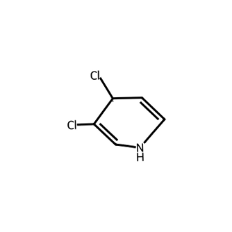 Cl[C]1C=CNC=C1Cl